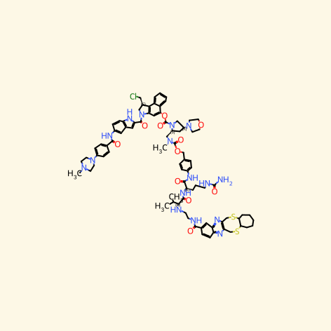 CC(C)[C@@H](NCCNC(=O)c1ccc2nc3c(nc2c1)CSC1CCCCCC1SC3)C(=O)N[C@H](CCCNC(N)=O)C(=O)Nc1ccc(COC(=O)N(C)C[C@@H]2C[C@@H](N3CCOCC3)CN2C(=O)Oc2cc3c(c4ccccc24)[C@H](CCl)CN3C(=O)c2cc3cc(NC(=O)c4ccc(N5CCN(C)CC5)cc4)ccc3[nH]2)cc1